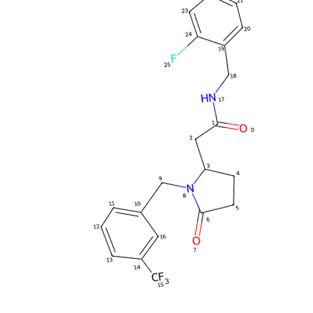 O=C(CC1CCC(=O)N1Cc1cccc(C(F)(F)F)c1)NCc1ccccc1F